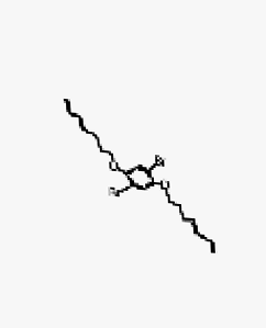 C=C/C=C/CCCOc1cc(Br)c(OCCC/C=C/C=C)cc1Br